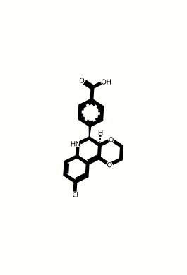 O=C(O)c1ccc([C@@H]2NC3C=CC(Cl)=CC3=C3OCCO[C@@H]32)cc1